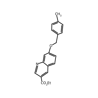 CCOC(=O)c1cnc2cc(OCc3ccc(C)cc3)ccc2c1